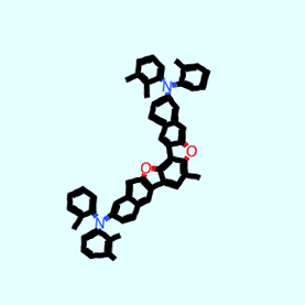 Cc1ccccc1N(c1ccc2cc3c(cc2c1)oc1c3cc(C)c2oc3cc4cc(N(c5ccccc5C)c5cccc(C)c5C)ccc4cc3c21)c1cccc(C)c1C